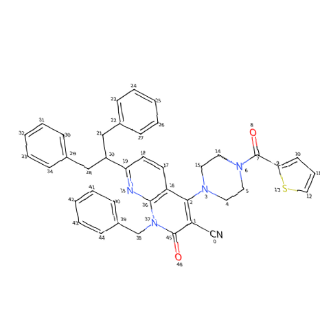 N#Cc1c(N2CCN(C(=O)c3cccs3)CC2)c2ccc(C(Cc3ccccc3)Cc3ccccc3)nc2n(Cc2ccccc2)c1=O